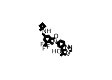 CC(C)C(O)(c1cccc(N2Cc3c(cc(CNC4(C)CCC4)cc3C(F)(F)F)C2=O)c1)c1nncn1C